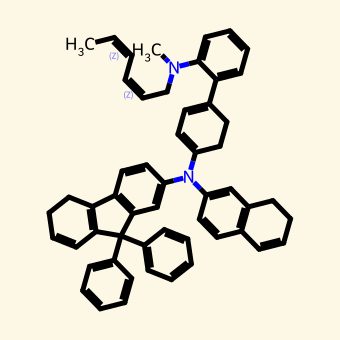 C/C=C\C=C/CN(C)c1ccccc1C1=CC=C(N(c2ccc3c(c2)CCC=C3)c2ccc3c(c2)C(c2ccccc2)(c2ccccc2)C2=C3CCC=C2)CC1